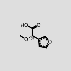 CO[C@H](C(=O)O)c1ccoc1